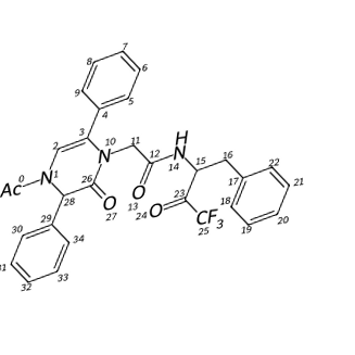 CC(=O)N1C=C(c2ccccc2)N(CC(=O)NC(Cc2ccccc2)C(=O)C(F)(F)F)C(=O)C1c1ccccc1